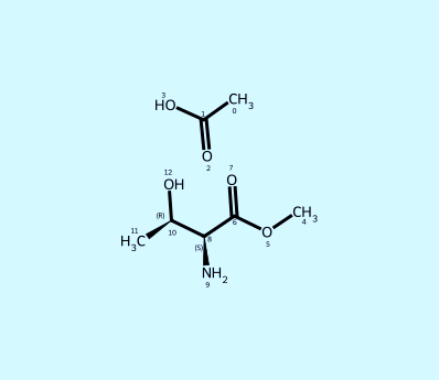 CC(=O)O.COC(=O)[C@@H](N)[C@@H](C)O